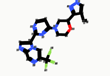 Cc1c[nH]nc1C1CN(c2ccnc(-c3cnc4cnc(C(F)(F)F)cn34)n2)CCO1